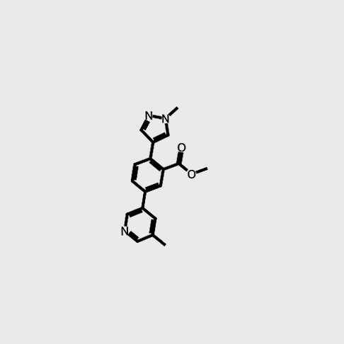 COC(=O)c1cc(-c2cncc(C)c2)ccc1-c1cnn(C)c1